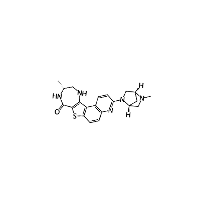 C[C@@H]1CNc2c(sc3ccc4nc(N5C[C@H]6C[C@@H]5CN6C)ccc4c23)C(=O)N1